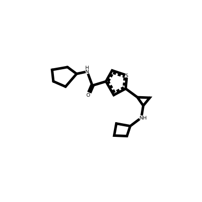 O=C(NC1CCCC1)c1csc(C2CC2NC2CCC2)c1